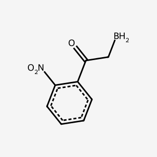 BCC(=O)c1ccccc1[N+](=O)[O-]